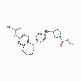 CC(C)(C)OC(=O)N1CCC(Nc2ccc(C3=CCCCc4cc(OC(=O)C(C)(C)C)ccc43)cc2)C1